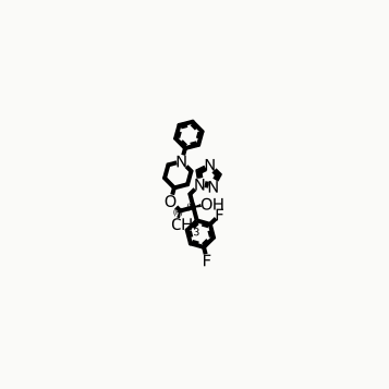 C[C@@H](OC1CCN(c2ccccc2)CC1)[C@](O)(Cn1cncn1)c1ccc(F)cc1F